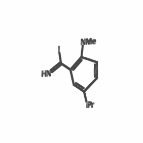 CNc1ccc(C(C)C)cc1C(=N)I